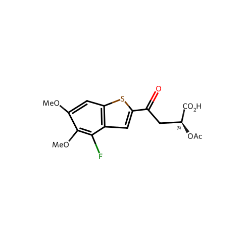 COc1cc2sc(C(=O)C[C@H](OC(C)=O)C(=O)O)cc2c(F)c1OC